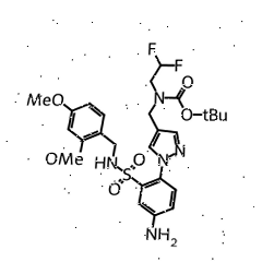 COc1ccc(CNS(=O)(=O)c2cc(N)ccc2-n2cc(CN(CC(F)F)C(=O)OC(C)(C)C)cn2)c(OC)c1